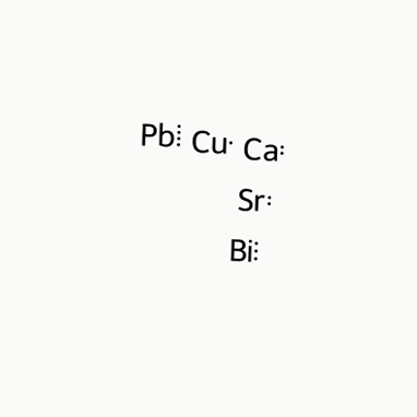 [Bi].[Ca].[Cu].[Pb].[Sr]